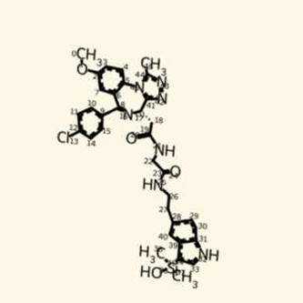 COc1ccc2c(c1)C(c1ccc(Cl)cc1)=N[C@@H](CC(=O)NCC(=O)NCCc1ccc3[nH]cc([Si](C)(C)O)c3c1)c1nnc(C)n1-2